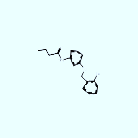 CCCC(=O)Nc1cccc(NCc2ccccc2Br)c1